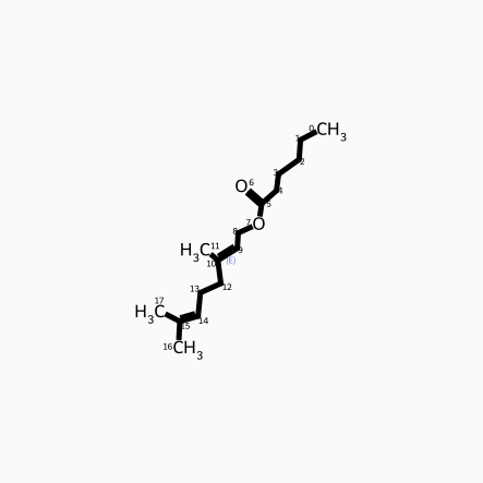 CCCCCC(=O)OC/C=C(\C)CCC=C(C)C